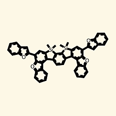 C[Si]1(C)c2cc(-c3cc4ccccc4o3)c3oc4ccccc4c3c2-c2ccc3c(c21)[Si](C)(C)c1cc(-c2cc4ccccc4o2)c2oc4ccccc4c2c1-3